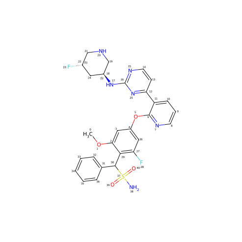 COc1cc(Oc2ncccc2-c2ccnc(N[C@@H]3CNC[C@@H](F)C3)n2)cc(F)c1C(c1ccccc1)S(N)(=O)=O